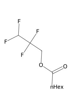 CCCCCCC(=O)OCC(F)(F)C(F)F